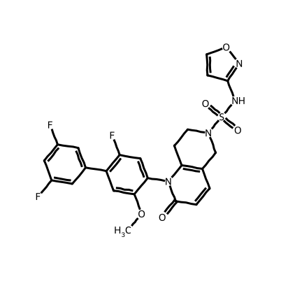 COc1cc(-c2cc(F)cc(F)c2)c(F)cc1-n1c2c(ccc1=O)CN(S(=O)(=O)Nc1ccon1)CC2